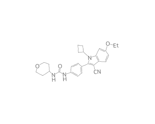 CCOc1ccc2c(C#N)c(-c3ccc(NC(=O)NC4CCOCC4)cc3)n(C3CCC3)c2c1